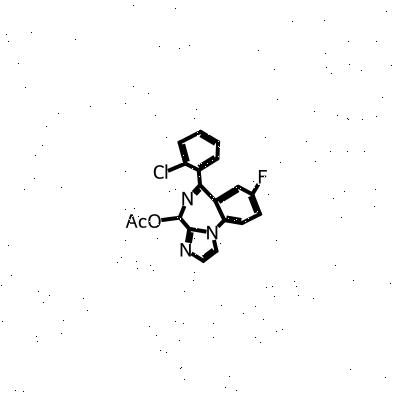 CC(=O)OC1N=C(c2ccccc2Cl)c2cc(F)ccc2-n2ccnc21